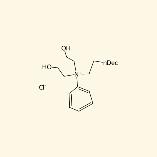 CCCCCCCCCCCC[N+](CCO)(CCO)c1ccccc1.[Cl-]